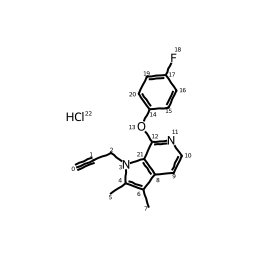 C#CCn1c(C)c(C)c2ccnc(Oc3ccc(F)cc3)c21.Cl